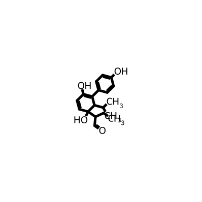 CCC(C=O)C1(O)C=CC(O)=C(c2ccc(O)cc2)C1C(C)C